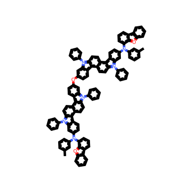 Cc1cccc(N(c2ccc3c4c5ccc6c(c5ccc4n(-c4ccccc4)c3c2)c2ccc(Oc3ccc4c5c7ccc8c(c7ccc5n(-c5ccccc5)c4c3)c3ccc(N(c4cccc(C)c4)c4cccc5c4oc4ccccc45)cc3n8-c3ccccc3)cc2n6-c2ccccc2)c2cccc3c2oc2ccccc23)c1